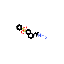 CC(C)(N)C[C@H]1CCCc2cc(S(=O)(=O)c3ccccc3)ccc21